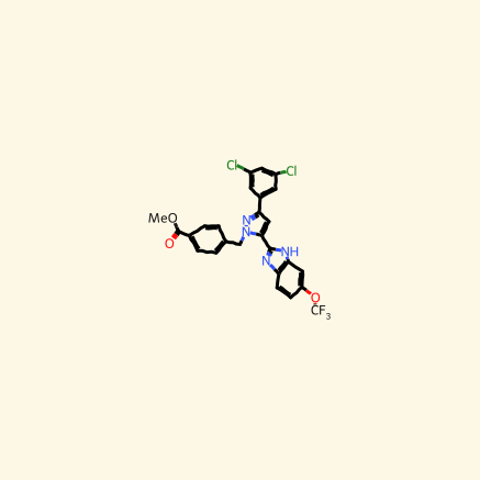 COC(=O)c1ccc(Cn2nc(-c3cc(Cl)cc(Cl)c3)cc2-c2nc3ccc(OC(F)(F)F)cc3[nH]2)cc1